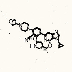 C[C@@H](Oc1nc(-c2ccc(N3CCN(C4COC4)CC3)c(C#N)c2)cc2ncn(C3CC3)c12)[C@H]1CNC(O)C1